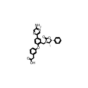 C[C@H]1[C@@H](c2ccccc2)OC(=O)N1Cc1cc(-c2cnc(N)cn2)ccc1Oc1cccc(CC(=O)O)c1